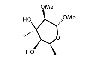 CO[C@@H]1O[C@@H](C)[C@@H](O)[C@@](C)(O)[C@H]1OC